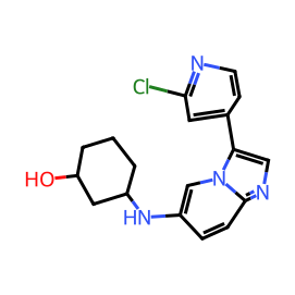 OC1CCCC(Nc2ccc3ncc(-c4ccnc(Cl)c4)n3c2)C1